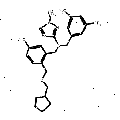 Cn1nnc(N(Cc2cc(C(F)(F)F)cc(C(F)(F)F)c2)Cc2cc(C(F)(F)F)ccc2COCC2CCCC2)n1